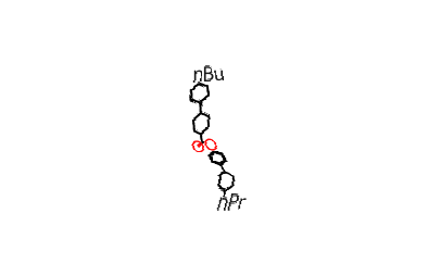 CCCCC1CCC(C2CCC(C(=O)Oc3ccc(C4CCC(CCC)CC4)cc3)CC2)CC1